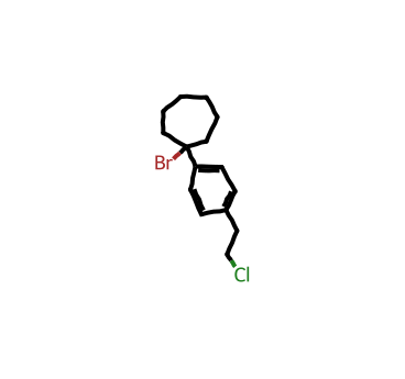 ClCCc1ccc(C2(Br)CCCCCC2)cc1